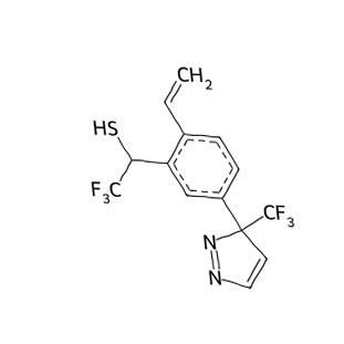 C=Cc1ccc(C2(C(F)(F)F)C=CN=N2)cc1C(S)C(F)(F)F